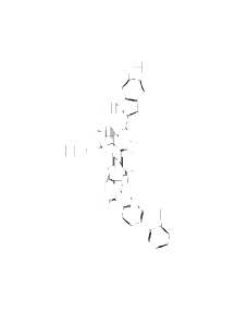 Cc1ccc2cc(C(=O)N[C@H](C(=O)N3C[C@@H]4C[C@H]3CN4C(=O)c3ccc(-c4ccccc4F)cn3)C(C)(C)C)[nH]c2c1